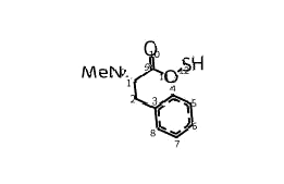 CN[C@@H](Cc1ccccc1)C(=O)OS